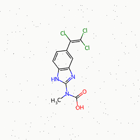 CN(C(=O)O)c1nc2cc(C(Cl)=C(Cl)Cl)ccc2[nH]1